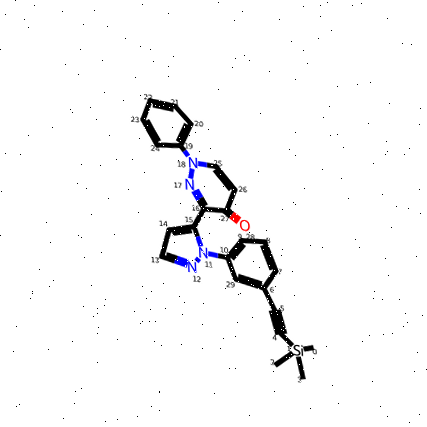 C[Si](C)(C)C#Cc1cccc(-n2nccc2-c2nn(-c3ccccc3)ccc2=O)c1